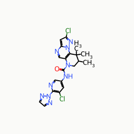 CC1CN(C(=O)Nc2cnc(-n3nccn3)c(Cl)c2)c2cnc3cc(Cl)nn3c2C1(C)C